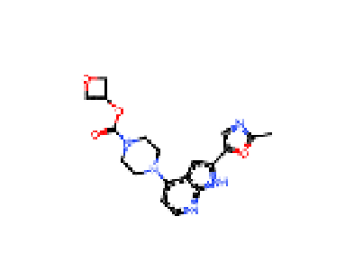 Cc1ncc(-c2cc3c(N4CCN(C(=O)OC5COC5)CC4)ccnc3[nH]2)o1